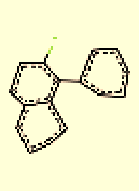 Fc1ccc2ccccc2c1-c1ccccc1